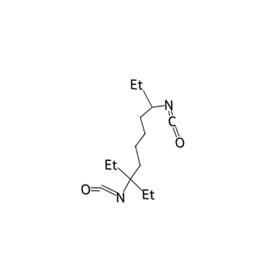 CCC(CCCCC(CC)(CC)N=C=O)N=C=O